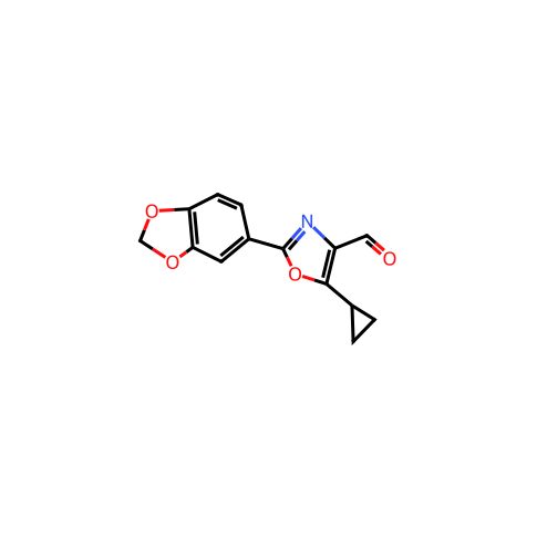 O=Cc1nc(-c2ccc3c(c2)OCO3)oc1C1CC1